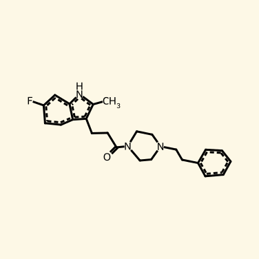 Cc1[nH]c2cc(F)ccc2c1CCC(=O)N1CCN(CCc2ccccc2)CC1